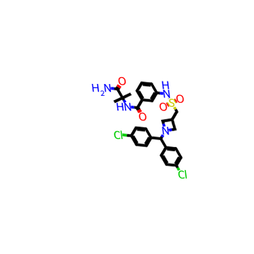 CC(C)(NC(=O)c1cccc(NS(=O)(=O)CC2CN(C(c3ccc(Cl)cc3)c3ccc(Cl)cc3)C2)c1)C(N)=O